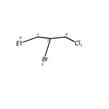 CCCC(Br)CCl